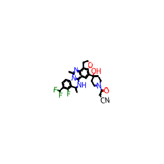 Cc1nc(NC(C)c2cccc(C(F)F)c2F)c2cc(C3(O)CCN(C(=O)CC#N)CC3)c3c(c2n1)CCO3